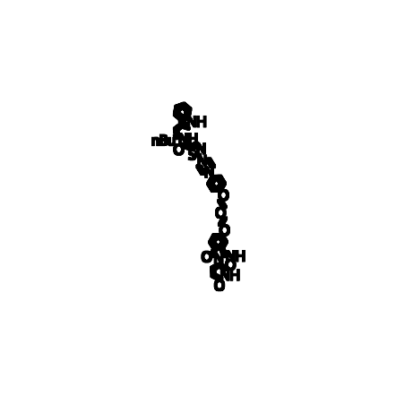 CCCCC(Cc1c[nH]c2ccccc12)NC(=O)c1cnc(N2CCN(c3ccc(OCCOCCOc4ccc5c(c4)C(=N)N(C4CCC(=O)NC4=O)C5=O)cc3)CC2)s1